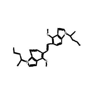 CCCC(C)n1ccc2c(SC)c(/C=C/c3ccc4c(ccn4C(C)CCC)c3SC)ccc21